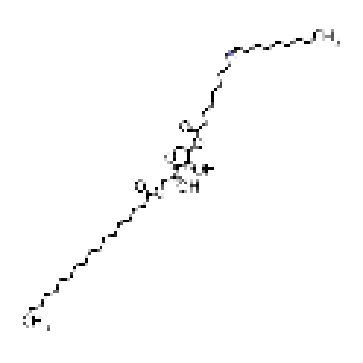 CCCCCCCC/C=C\CCCCCCCC(=O)O[C@H]1CO[C@H]([C@H](O)COC(=O)CCCCCCCCCCCCCCCCC)[C@@H]1O